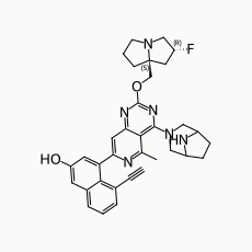 C#Cc1cccc2cc(O)cc(-c3cc4nc(OC[C@@]56CCCN5C[C@H](F)C6)nc(N5CC6CCC(C5)N6)c4c(C)n3)c12